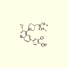 CN(C)CC1CCN(c2c([C]3CC3)cnc3ccc(-c4ccc(O)c(Cl)c4)cc23)CC1